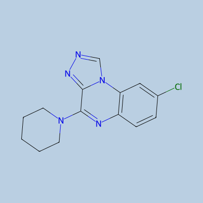 Clc1ccc2nc(N3CCCCC3)c3nncn3c2c1